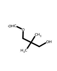 CC(C)(CO)CO[C]=O